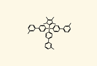 CC1=C(C)C(C)C([Si](c2ccc(-c3cccc(C)c3)cc2)(c2ccc(-c3cccc(C)c3)cc2)c2ccc(-c3cccc(C)c3)cc2)=C1C